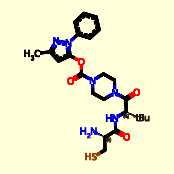 Cc1cc(OC(=O)N2CCN(C(=O)[C@@H](NC(=O)[C@@H](N)CS)C(C)(C)C)CC2)n(-c2ccccc2)n1